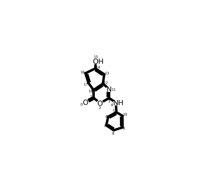 O=c1oc(Nc2ccccc2)nc2cc(O)ccc12